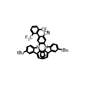 CC(C)(C)c1ccc2c(c1)c1ccccc1n2-c1cc(C#N)c(-c2c(C(F)(F)F)cccc2C(F)(F)F)cc1-n1c2ccccc2c2cc(C(C)(C)C)ccc21